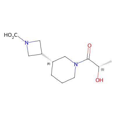 C[C@H](O)C(=O)N1CCC[C@H](C2CN(C(=O)O)C2)C1